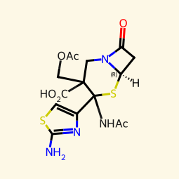 CC(=O)NC1(c2csc(N)n2)S[C@@H]2CC(=O)N2CC1(COC(C)=O)C(=O)O